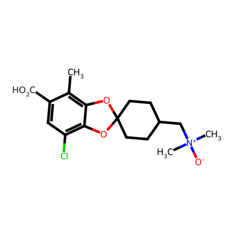 Cc1c(C(=O)O)cc(Cl)c2c1OC1(CCC(C[N+](C)(C)[O-])CC1)O2